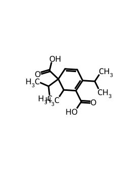 CC(C)C1=C(C(=O)O)C(C)C(C(=O)O)(C(C)C)C=C1